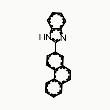 c1ccc2c(c1)ccc1cc(-c3nc4ccccc4[nH]3)ccc12